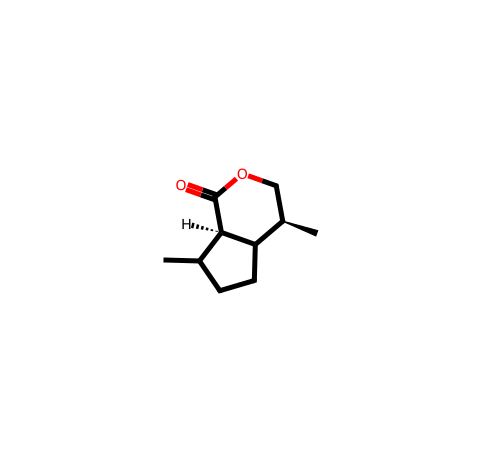 CC1CCC2[C@@H]1C(=O)OC[C@H]2C